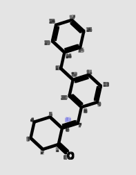 O=C1CCCC/C1=C\c1cccc(Cc2ccccc2)c1